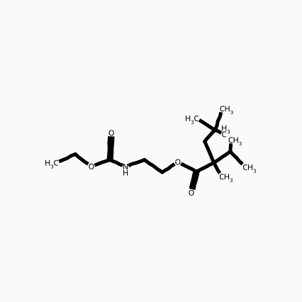 CCOC(=O)NCCOC(=O)C(C)(CC(C)(C)C)C(C)C